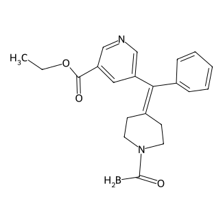 BC(=O)N1CCC(=C(c2ccccc2)c2cncc(C(=O)OCC)c2)CC1